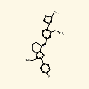 COc1cc(/C=C2\CCCn3c2nc(-c2ccc(F)cc2)c3CO)ccc1-n1cnc(C)c1